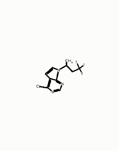 CC(CC(F)(F)F)n1ccc2c(Cl)ncnc21